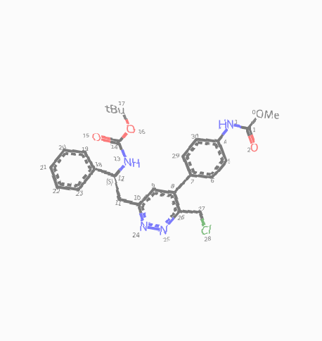 COC(=O)Nc1ccc(-c2cc(C[C@H](NC(=O)OC(C)(C)C)c3ccccc3)nnc2CCl)cc1